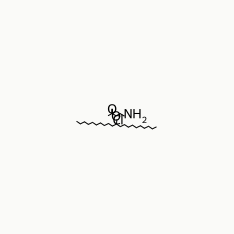 CC(=O)OCCN.CCCCCCCCCCC(Cl)CCCCCCCCCC